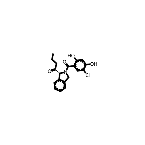 CCCC(=O)[C@H]1c2ccccc2CN1C(=O)c1cc(Cl)c(O)cc1O